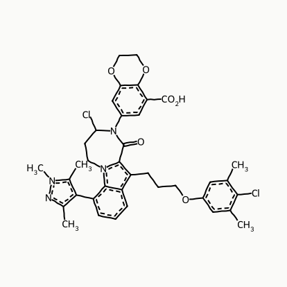 Cc1cc(OCCCc2c3n(c4c(-c5c(C)nn(C)c5C)cccc24)CCC(Cl)N(c2cc4c(c(C(=O)O)c2)OCCO4)C3=O)cc(C)c1Cl